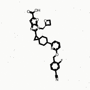 N#Cc1ccc(COc2cccc(C3CCC4(CC3)CC4c3nc4cc(C(=O)O)oc4n3C[C@@H]3CCO3)n2)c(F)c1